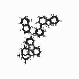 C[C@H]1C[C@@H]2C[C@H](C1)C1(c3ccccc3-c3cc(N(c4cccc(-c5cccc6c5sc5ccccc56)c4)c4ccc5ccccc5c4)ccc31)[C@H](C)C2